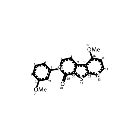 COc1cccc(-n2ccc3c(sc4nccc(OC)c43)c2=O)c1